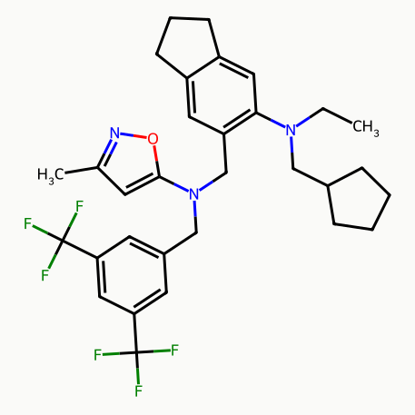 CCN(CC1CCCC1)c1cc2c(cc1CN(Cc1cc(C(F)(F)F)cc(C(F)(F)F)c1)c1cc(C)no1)CCC2